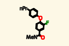 CCCc1ccc(Oc2ccc(C(=O)NC)cc2F)cc1